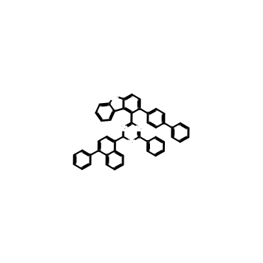 c1ccc(C2=NC(c3c(-c4ccc(-c5ccccc5)cc4)ccc4oc5ccccc5c34)=NC(c3ccc(-c4ccccc4)c4ccccc34)N2)cc1